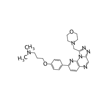 CN(C)CCCOc1ccc(-c2ccc3ncc4nnc(CN5CCOCC5)n4c3n2)cc1